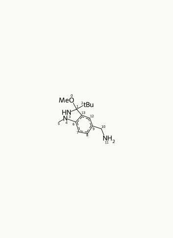 COC1(C(C)(C)C)NN(C)c2ccc(CN)cc21